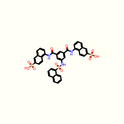 O=C(Nc1cccc2cc(S(=O)(=O)O)ccc12)c1cc(NS(=O)(=O)c2cccc3ccccc23)cc(C(=O)Nc2cccc3cc(S(=O)(=O)O)ccc23)c1